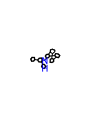 C1=CCC2C(=C1)c1ccc(Nc3ccc(-c4ccccc4)cc3-c3ccccc3)cc1C21c2ccccc2-c2ccccc21